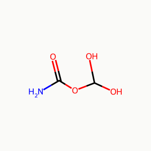 NC(=O)OC(O)O